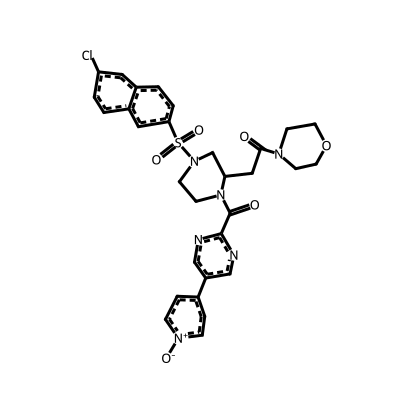 O=C(CC1CN(S(=O)(=O)c2ccc3cc(Cl)ccc3c2)CCN1C(=O)c1ncc(-c2cc[n+]([O-])cc2)cn1)N1CCOCC1